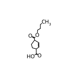 CCCCOC(=O)C1C=CC(C(=O)O)CC1